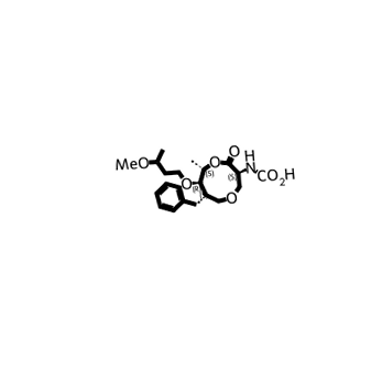 COC(C)CCO[C@@H]1[C@@H](Cc2ccccc2)COC[C@H](NC(=O)O)C(=O)O[C@H]1C